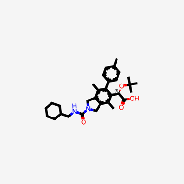 Cc1ccc(-c2c(C)c3c(c(C)c2[C@H](OC(C)(C)C)C(=O)O)CN(C(=O)NCC2CCCCC2)C3)cc1